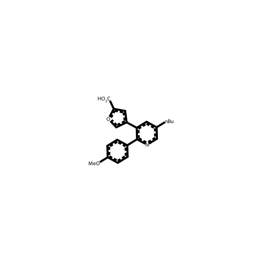 CCCCc1cnc(-c2ccc(OC)cc2)c(-c2coc(C(=O)O)c2)c1